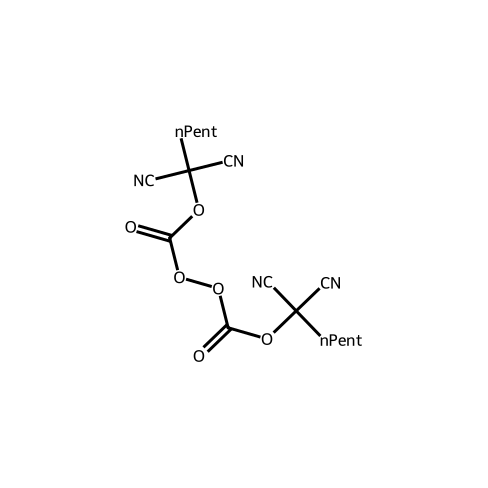 CCCCCC(C#N)(C#N)OC(=O)OOC(=O)OC(C#N)(C#N)CCCCC